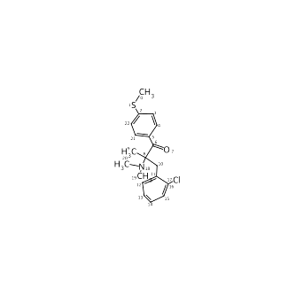 CSc1ccc(C(=O)C(C)(Cc2ccccc2Cl)N(C)C)cc1